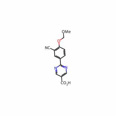 COCOc1ccc(-c2ncc(C(=O)O)cn2)cc1C#N